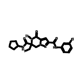 CCN1C(=O)c2cc(C(=O)Nc3cccc(Cl)c3)nn2CC1(CI)C(=O)NC1CCCC1